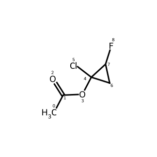 CC(=O)OC1(Cl)CC1F